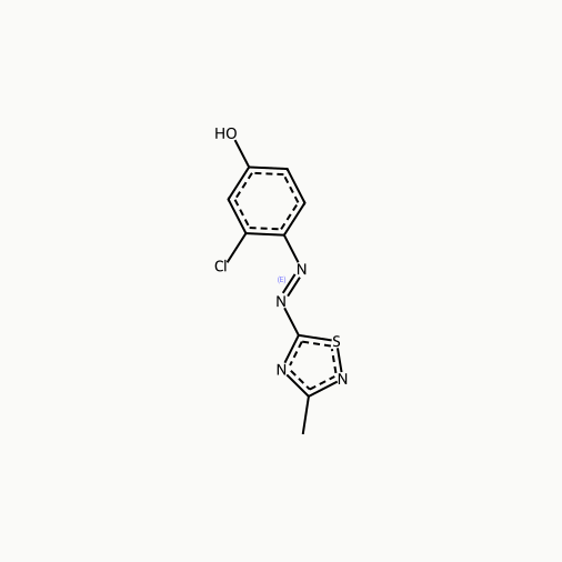 Cc1nsc(/N=N/c2ccc(O)cc2Cl)n1